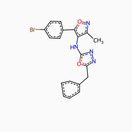 Cc1noc(-c2ccc(Br)cc2)c1Nc1nnc(Cc2ccccc2)o1